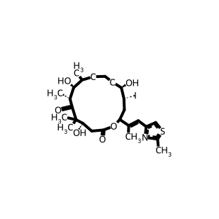 C/C(=C\c1csc(C)n1)C1C[C@@H](I)[C@H](O)CCCC(C)[C@H](O)[C@@H](C)C(=O)C(C)(C)[C@@H](O)CC(=O)O1